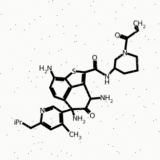 C=CC(=O)N1CCCC(NC(=O)c2sc3c(N)ccc4c3c2C(N)C(=O)C4(N)c2cnc(CC(C)C)cc2C)C1